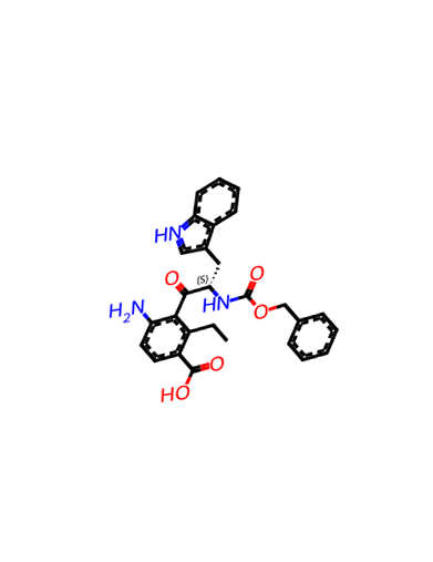 CCc1c(C(=O)O)ccc(N)c1C(=O)[C@H](Cc1c[nH]c2ccccc12)NC(=O)OCc1ccccc1